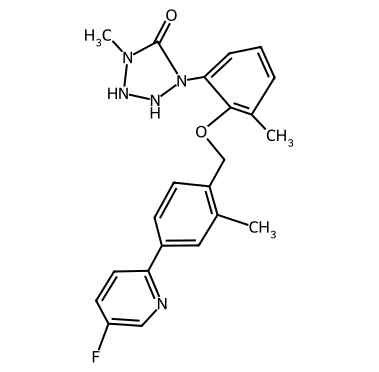 Cc1cc(-c2ccc(F)cn2)ccc1COc1c(C)cccc1N1NNN(C)C1=O